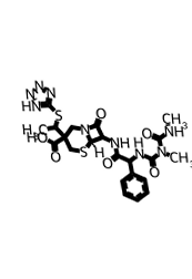 CNC(=O)N(C)C(=O)NC(C(=O)NC1C(=O)N2CC(C(=O)O)(C(C)Sc3nnn[nH]3)CS[C@H]12)c1ccccc1